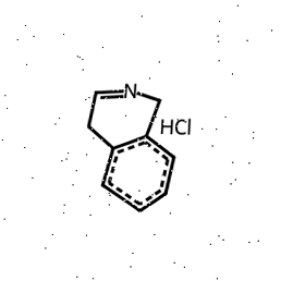 C1=NCc2ccccc2C1.Cl